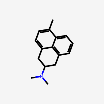 Cc1ccc2c3c(cccc13)CC(N(C)C)C2